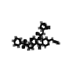 N#CCC1CCC(Nc2c(NC(=O)Cc3ccn[nH]3)cnc3c2ccn3S(=O)(=O)c2ccccc2)CC1